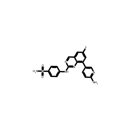 Nc1ccc(-c2cc(F)cc3cnc(Nc4ccc(S(N)(=O)=O)cc4)nc23)cn1